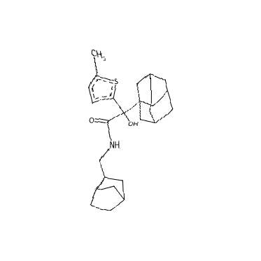 Cc1ccc(C(O)(C(=O)NCC2CC3CCC2C3)C23CC4CC(CC(C4)C2)C3)s1